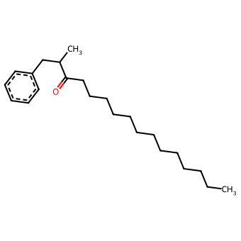 CCCCCCCCCCCCCC(=O)C(C)Cc1ccccc1